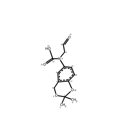 CC1(C)OCc2cc(N(CC=O)C(=O)O)ccc2O1